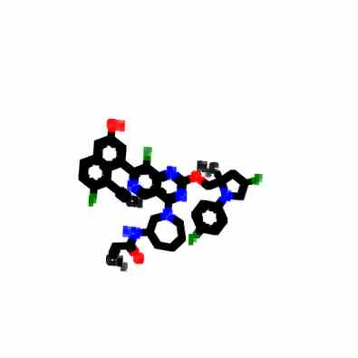 C#Cc1c(F)ccc2cc(O)cc(-c3ncc4c(N5CCCCC(NC(=O)C=C)C5)nc(OC[C@]5(C)C[C@@H](F)CN5c5ccc(F)cc5)nc4c3F)c12